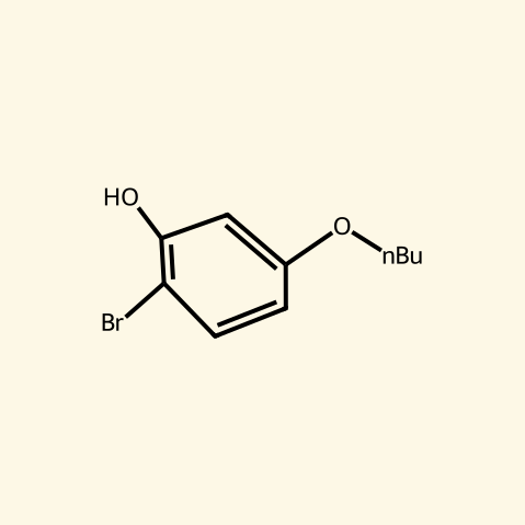 CCCCOc1ccc(Br)c(O)c1